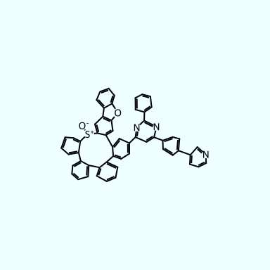 [O-][S+]1c2ccccc2-c2ccccc2-c2ccccc2-c2ccc(-c3cc(-c4ccc(-c5cccnc5)cc4)nc(-c4ccccc4)n3)cc2-c2cc3oc4ccccc4c3cc21